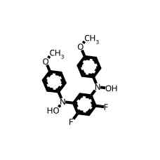 COc1ccc(N(O)c2cc(N(O)c3ccc(OC)cc3)c(F)cc2F)cc1